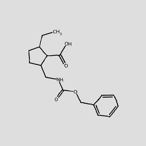 CCC1CCC(CNC(=O)OCc2ccccc2)C1C(=O)O